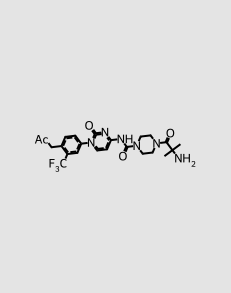 CC(=O)Cc1ccc(-n2ccc(NC(=O)N3CCN(C(=O)C(C)(C)N)CC3)nc2=O)cc1C(F)(F)F